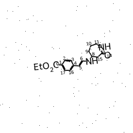 CCOC(=O)c1ccc(C=CNC2CCCNC(=O)C2)cc1